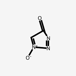 O=C1C=[N+]([O-])N=N1